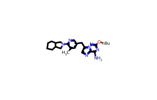 CCCCOc1nc(N)c2ncc(Cc3cnc(N4CC5CCCCC5C4)c(C)c3)n2n1